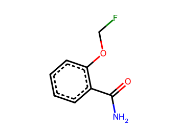 NC(=O)c1ccccc1OCF